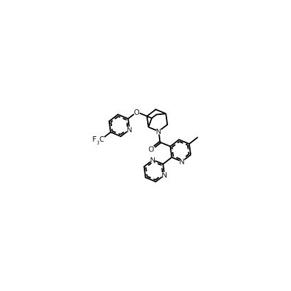 Cc1cnc(-c2ncccn2)c(C(=O)N2CC3CCC2C(Oc2ccc(C(F)(F)F)cn2)C3)c1